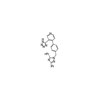 CCCc1nc(C(C)C)nn1Cc1ccc(-c2ccncc2-c2nnn[nH]2)cc1